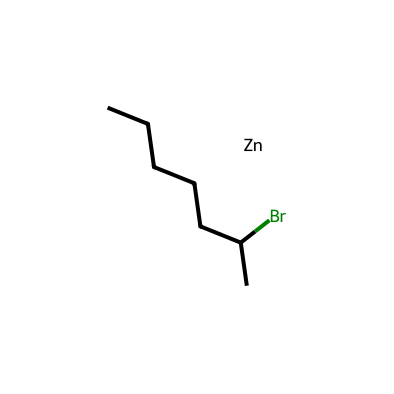 CCCCCC(C)Br.[Zn]